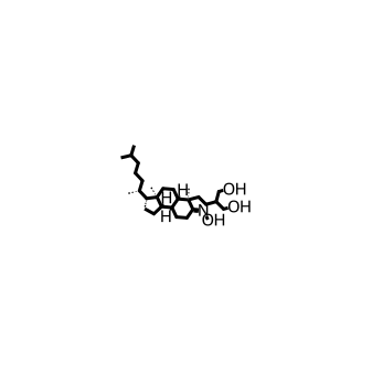 CC(C)CCC[C@@H](C)[C@H]1CC[C@H]2[C@@H]3CCC(=NO)[C@](C)(CCC(CO)CO)[C@H]3CC[C@]12C